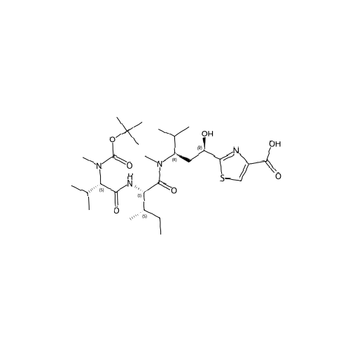 CC[C@H](C)[C@H](NC(=O)[C@H](C(C)C)N(C)C(=O)OC(C)(C)C)C(=O)N(C)[C@H](C[C@@H](O)c1nc(C(=O)O)cs1)C(C)C